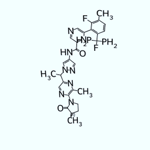 Cc1ccc(C(F)(P)P)c(-c2cncc(C(=O)Nc3cnn(C(C)c4cnc(N5CC[C@@H](C)C5=O)c(C)n4)c3)n2)c1F